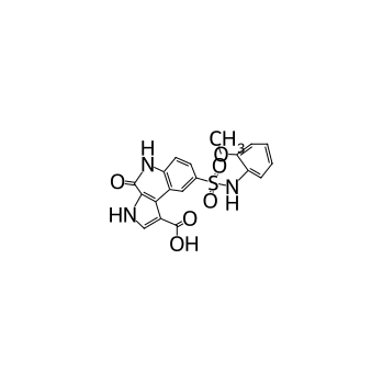 COc1ccccc1NS(=O)(=O)c1ccc2[nH]c(=O)c3[nH]cc(C(=O)O)c3c2c1